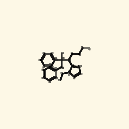 CCCCC(c1nccn1CC)C(C)(Cc1ccccc1)c1ccccc1